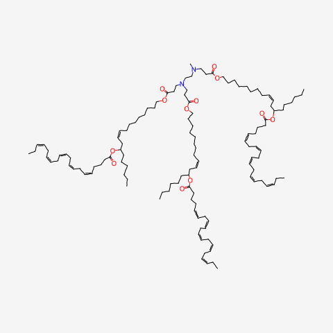 CC/C=C\C/C=C\C/C=C\C/C=C\C/C=C\CCCC(=O)OC(C/C=C\CCCCCCCCOC(=O)CCN(C)CCN(CCC(=O)OCCCCCCCC/C=C\CC(CCCCCC)OC(=O)CCC/C=C\C/C=C\C/C=C\C/C=C\C/C=C\CC)CCC(=O)OCCCCCCCC/C=C\CC(CCCCCC)OC(=O)CCC/C=C\C/C=C\C/C=C\C/C=C\C/C=C\CC)CCCCCC